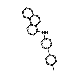 Cc1ccc(-c2ccc(Nc3cccc4c3ccc3ccccc34)cc2)cc1